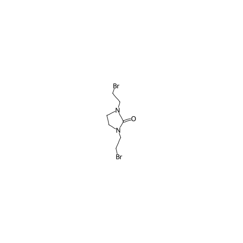 O=C1N(CCBr)CCN1CCBr